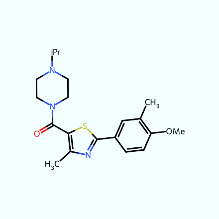 COc1ccc(-c2nc(C)c(C(=O)N3CCN(C(C)C)CC3)s2)cc1C